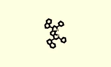 c1ccc(-c2cc(-c3cccc4ccccc34)c3ccc4c(-c5cccc6ccccc56)cc(-c5ccccc5)nc4c3n2)cc1